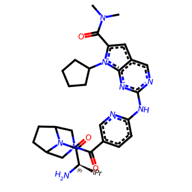 CC(C)[C@@H](N)C(=O)N1C2CCC1CN(C(=O)c1ccc(Nc3ncc4cc(C(=O)N(C)C)n(C5CCCC5)c4n3)nc1)C2